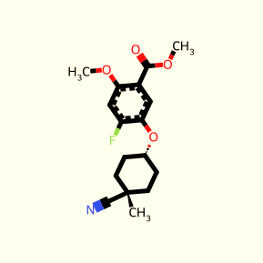 COC(=O)c1cc(O[C@H]2CC[C@@](C)(C#N)CC2)c(F)cc1OC